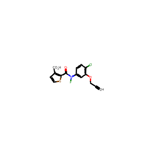 C#CCOc1cc(N(F)C(=O)c2sccc2C(=O)O)ccc1Cl